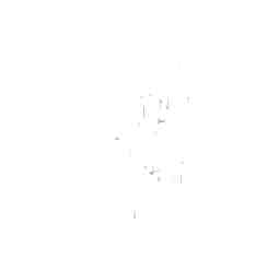 C=CCN1CC[C@]23c4c5ccc(O)c4O[C@H]2[C@H](N2C(=O)c4cccc(C)c4C2=O)CC[C@@]3(O)[C@H]1C5